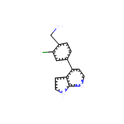 NCc1ccc(-c2ccnc3[nH]ccc23)cc1F